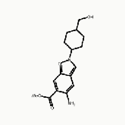 COC(=O)c1cc2nn(C3CCC(CO)CC3)cc2cc1N